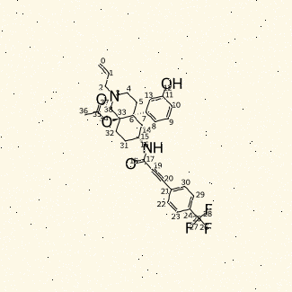 C=CCN1CC[C@@]2(c3cccc(O)c3)C[C@H](NC(=O)C#Cc3ccc(C(F)(F)F)cc3)CC[C@]2(OC(C)=O)C1